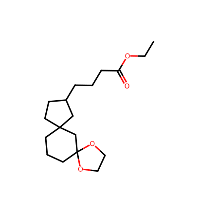 CCOC(=O)CCCC1CCC2(CCCC3(C2)OCCO3)C1